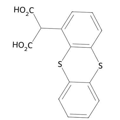 O=C(O)C(C(=O)O)c1cccc2c1Sc1ccccc1S2